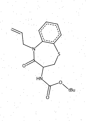 C=CCN1C(=O)C(NC(=O)OC(C)(C)C)CSc2ccccc21